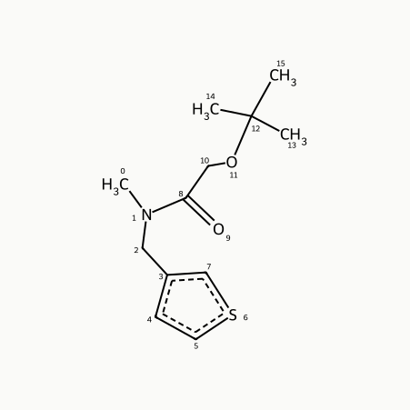 CN(Cc1ccsc1)C(=O)COC(C)(C)C